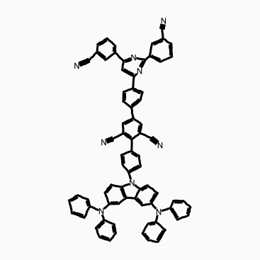 N#Cc1cccc(-c2cc(-c3ccc(-c4cc(C#N)c(-c5ccc(-n6c7ccc(N(c8ccccc8)c8ccccc8)cc7c7cc(N(c8ccccc8)c8ccccc8)ccc76)cc5)c(C#N)c4)cc3)nc(-c3cccc(C#N)c3)n2)c1